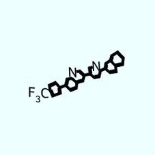 FC(F)(F)c1ccc(-c2ccc3cc(-c4ccc(-c5ccc6ccccc6c5)nc4)cnc3c2)cc1